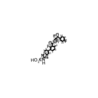 Cc1ccc(-c2ccn3nc(NC(=O)O)nc3c2)c(F)c1C(=O)NCC(F)(F)C(=O)c1ccc(F)cc1